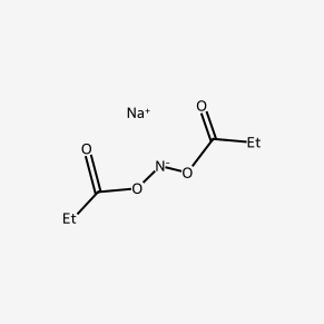 CCC(=O)O[N-]OC(=O)CC.[Na+]